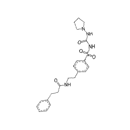 O=C(CCc1ccccc1)NCCc1ccc(S(=O)(=O)NC(=O)NN2CCCC2)cc1